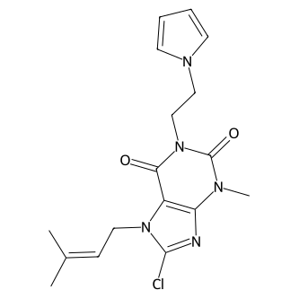 CC(C)=CCn1c(Cl)nc2c1c(=O)n(CCn1cccc1)c(=O)n2C